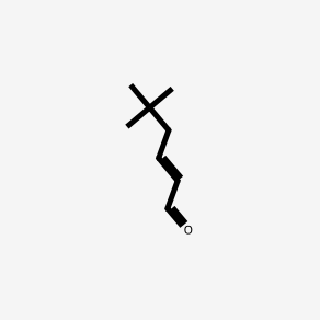 CC(C)(C)CC=CC=O